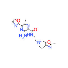 Cc1nc2c(o1)CN(CCNC(=O)c1nc(C)c(-c3ncco3)nc1N)CC2